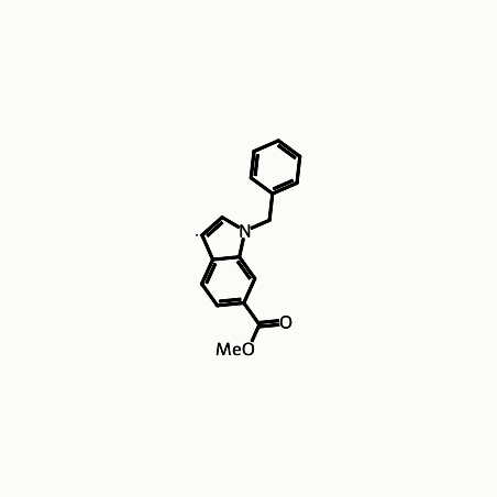 COC(=O)c1ccc2[c]cn(Cc3ccccc3)c2c1